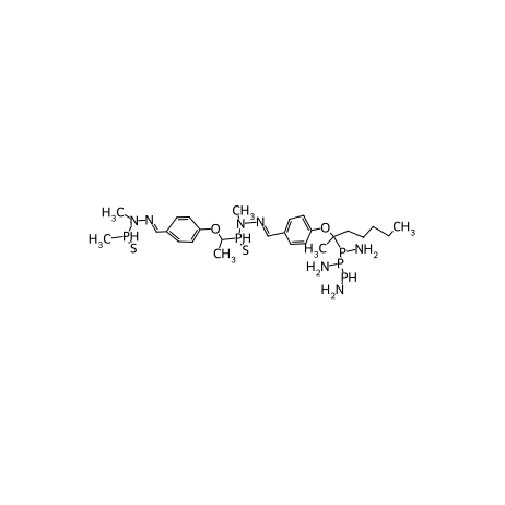 CCCCCC(C)(Oc1ccc(/C=N/N(C)[PH](=S)C(C)Oc2ccc(/C=N/N(C)[PH](C)=S)cc2)cc1)P(N)P(N)PN